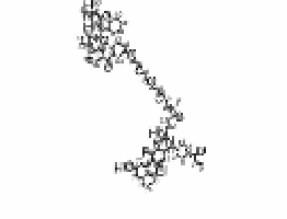 C=CC(=O)N1CCN(c2nc(NCCC(=O)N(C)CCOCCOCCOCCOc3cccc(C(=O)c4csc([C@@H]5CCCN5C(=O)C(NC(=O)[C@H](C)NC)C5CCCCC5)n4)c3)nc3c(F)c(-c4cc(O)cc5ccccc45)c(Cl)cc23)CC1